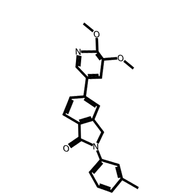 COc1cc(-c2ccc3c(c2)CN(c2cccc(C)c2)C3=O)cnc1OC